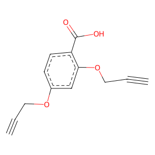 C#CCOc1ccc(C(=O)O)c(OCC#C)c1